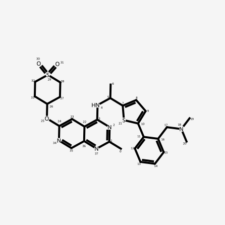 Cc1nc(NC(C)c2ccc(-c3ccccc3CN(C)C)s2)c2cc(OC3CCS(=O)(=O)CC3)ncc2n1